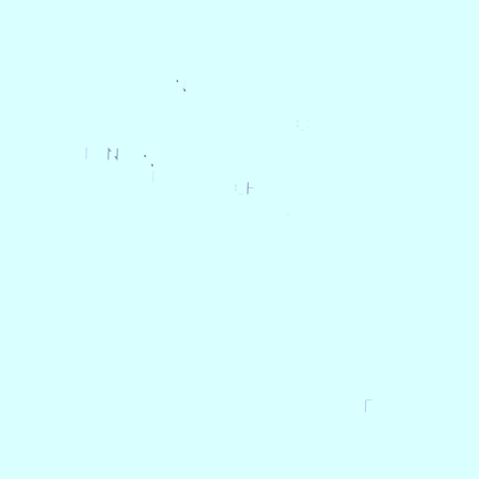 NNc1nccc(OC2CC(c3ccc(F)cc3)C2)c1C(F)(F)F